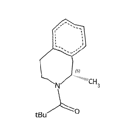 C[C@H]1c2ccccc2CCN1C(=O)C(C)(C)C